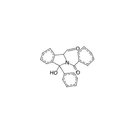 O=CC1c2ccccc2C(O)(c2ccccc2)N1C(=O)c1ccccc1